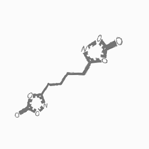 O=c1onc(CCCCc2noc(=O)o2)o1